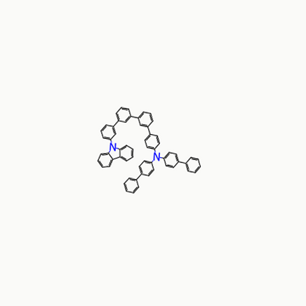 c1ccc(-c2ccc(N(c3ccc(-c4ccccc4)cc3)c3ccc(-c4cccc(-c5cccc(-c6cccc(-n7c8ccccc8c8ccccc87)c6)c5)c4)cc3)cc2)cc1